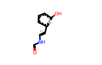 O=CN/C=C/c1cccc(O)c1